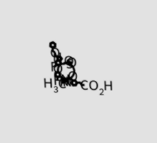 Cn1nc2nc1-c1cc(ccc1F)Oc1c(F)cc3c(ccn3COCc3ccccc3)c1/C=C/S(=O)(=O)CCCCOC2c1cccc(CCC(=O)O)c1